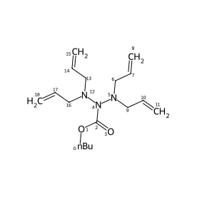 [CH2]CCCOC(=O)N(N(CC=C)CC=C)N(CC=C)CC=C